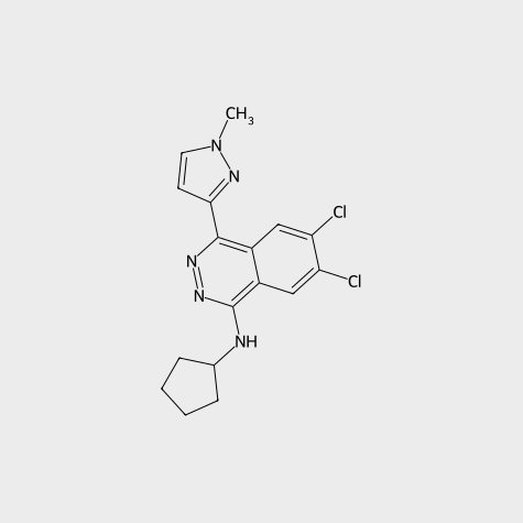 Cn1ccc(-c2nnc(NC3CCCC3)c3cc(Cl)c(Cl)cc23)n1